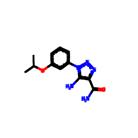 CC(C)Oc1cccc(-n2nnc(C(N)=O)c2N)c1